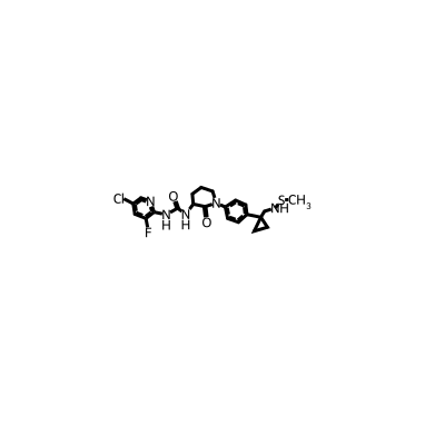 CSNCC1(c2ccc(N3CCCC(NC(=O)Nc4ncc(Cl)cc4F)C3=O)cc2)CC1